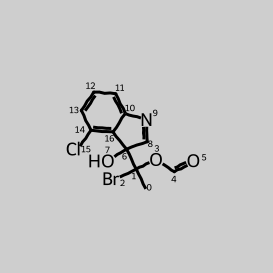 CC(Br)(OC=O)C1(O)C=Nc2cccc(Cl)c21